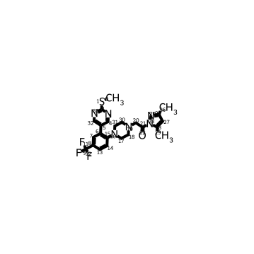 CSc1ncc(-c2cc(C(F)(F)F)ccc2N2CCN(CC(=O)n3nc(C)cc3C)CC2)cn1